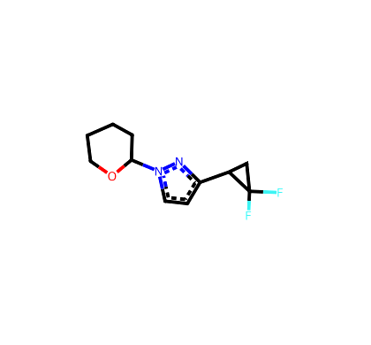 FC1(F)CC1c1ccn(C2CCCCO2)n1